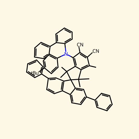 Cc1c(C#N)c(C#N)c(N(c2ccc(C(C)(C)C)cc2)c2ccccc2-c2ccccc2)c2c1C(C)(C)C1(c3cc(-c4ccccc4)ccc3-c3ccc(-c4ccccc4)cc31)C2(C)C